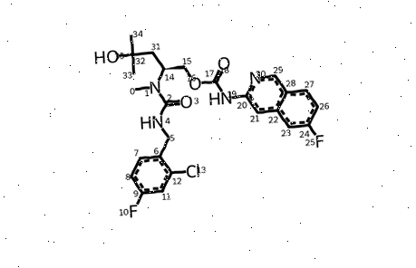 CN(C(=O)NCc1ccc(F)cc1Cl)[C@H](COC(=O)Nc1cc2cc(F)ccc2cn1)CC(C)(C)O